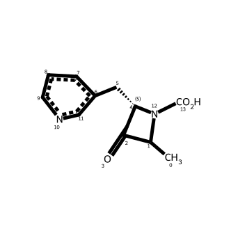 CC1C(=O)[C@H](Cc2cccnc2)N1C(=O)O